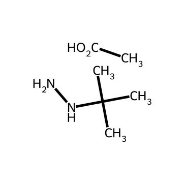 CC(=O)O.CC(C)(C)NN